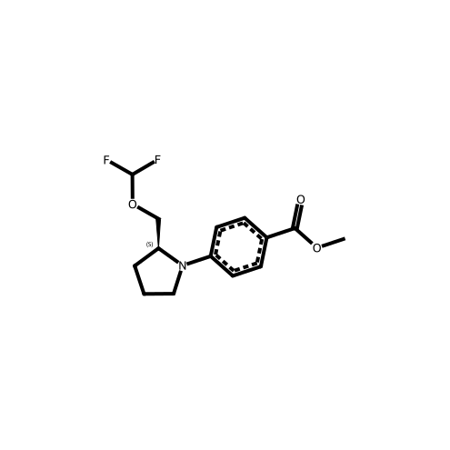 COC(=O)c1ccc(N2CCC[C@H]2COC(F)F)cc1